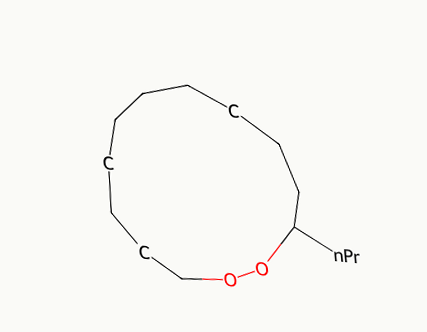 CCCC1CCCCCCCCCCOO1